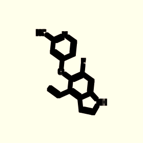 C=Cc1c(Oc2ccnc(C#N)c2)c(F)cc2[nH]ccc12